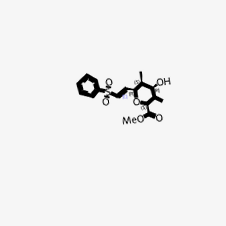 COC(=O)[C@H]1O[C@@H](/C=C/S(=O)(=O)c2ccccc2)[C@@H](C)[C@@H](O)C1C